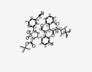 CC(C)(C)OC(=O)N1C[C@@H](C(=O)N(c2cccc(F)c2)C(C(=O)NC2CC(F)(F)C2)c2ccccc2Cl)N(c2cc(C#N)ccn2)S1(=O)=O